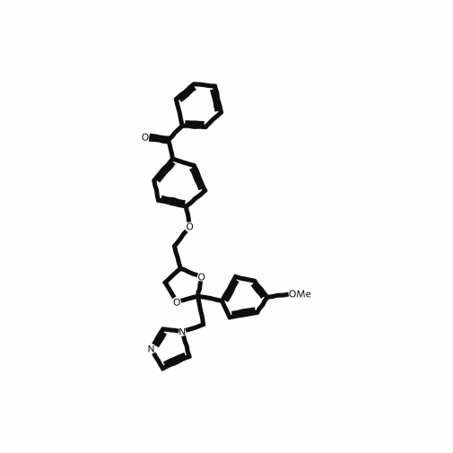 COc1ccc(C2(Cn3ccnc3)OCC(COc3ccc(C(=O)c4ccccc4)cc3)O2)cc1